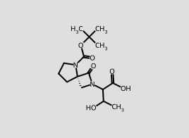 CC(O)C(C(=O)O)N1C[C@@]2(CCCN2C(=O)OC(C)(C)C)C1=O